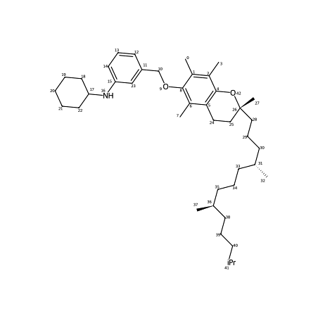 Cc1c(C)c2c(c(C)c1OCc1cccc(NC3CCCCC3)c1)CC[C@@](C)(CCC[C@H](C)CCC[C@H](C)CCCC(C)C)O2